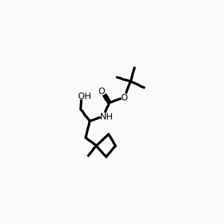 CC1(CC(CO)NC(=O)OC(C)(C)C)CCC1